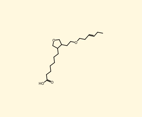 CCC=CCCOCCC1COCC1CCCCCCC(=O)O